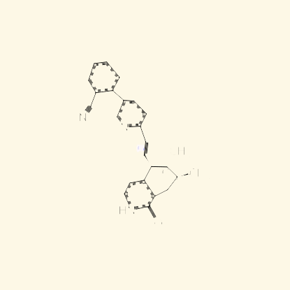 C[C@H]1[C@H](/C=C/c2ccc(-c3ccccc3C#N)cn2)c2cc[nH]c(=O)c2C[C@@H]1C